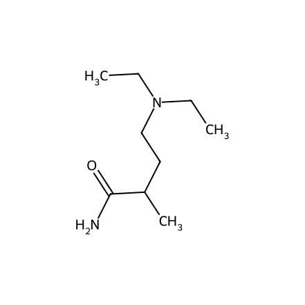 CCN(CC)CCC(C)C(N)=O